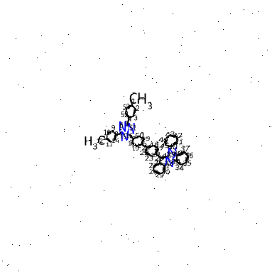 Cc1ccc(-c2nc(-c3ccc(C)cc3)nc(-c3ccc(-c4ccc(-c5c6ccccc6n6c7ccccc7n(-c7ccccc7)c56)cc4)cc3)n2)cc1